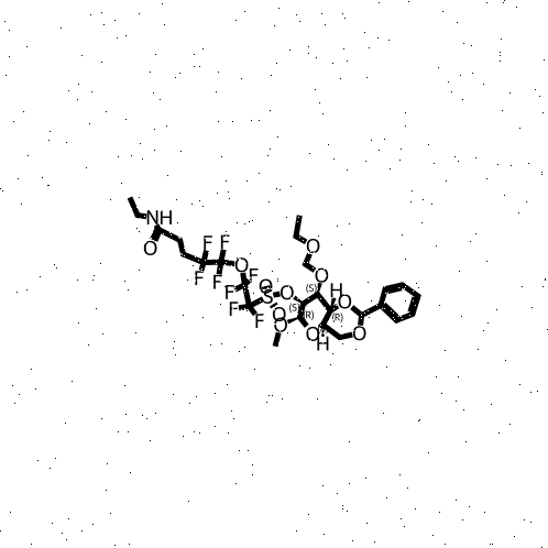 CCNC(=O)CCC(F)(F)C(F)(F)OC(F)(F)C(F)(F)S(=O)(=O)O[C@@H]1[C@H](OC)O[C@@H]2COC(c3ccccc3)O[C@H]2[C@@H]1OCOCC